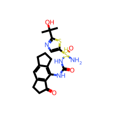 CC(C)(O)c1ncc([SH](N)(=O)NC(=O)Nc2c3c(cc4c2C(=O)CC4)CCC3)s1